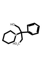 O=C(O)CC(CO)(c1ccccc1)N1CCCCC1